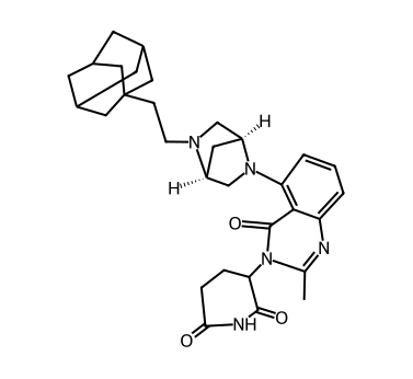 Cc1nc2cccc(N3C[C@@H]4C[C@H]3CN4CCC34CC5CC(CC(C5)C3)C4)c2c(=O)n1C1CCC(=O)NC1=O